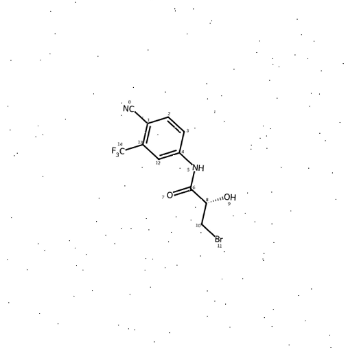 N#Cc1ccc(NC(=O)[C@H](O)CBr)cc1C(F)(F)F